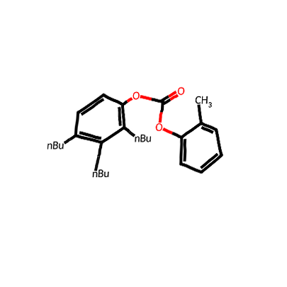 CCCCc1ccc(OC(=O)Oc2ccccc2C)c(CCCC)c1CCCC